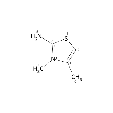 Cc1csc(N)[n+]1C